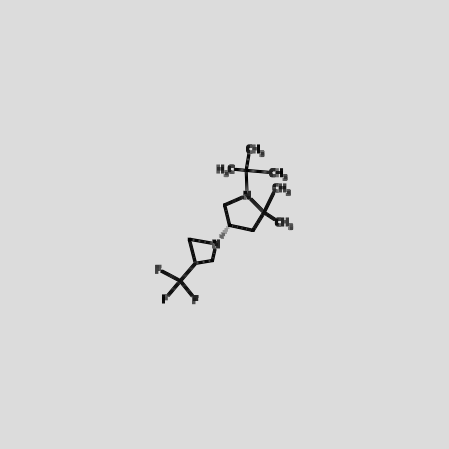 CC(C)(C)N1C[C@@H](N2CC(C(F)(F)F)C2)CC1(C)C